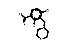 O=C(O)c1ccc(Cl)c(CN2CCOCC2)c1Cl